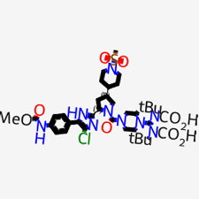 COC(=O)Nc1ccc(-c2[nH]c([C@@H]3C[C@H](C4CCN(S(C)(=O)=O)CC4)CN3C(=O)N3CCN(C(=NC(=O)O)N(C(=O)O)C(C)(C)C)C(C(C)(C)C)C3)nc2Cl)cc1